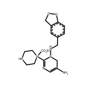 CCOC(=O)[N+]1(C2=NC=C(N)CN2NCc2ccc3c(c2)COO3)CCNCC1